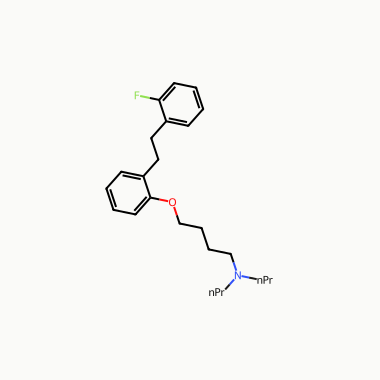 CCCN(CCC)CCCCOc1ccccc1CCc1ccccc1F